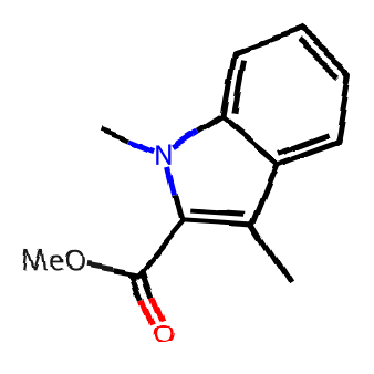 COC(=O)c1c(C)c2ccccc2n1C